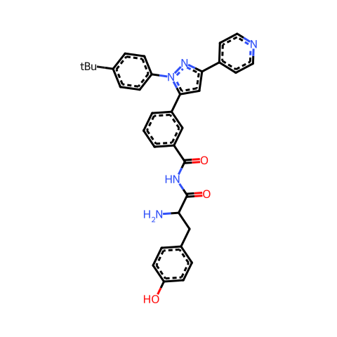 CC(C)(C)c1ccc(-n2nc(-c3ccncc3)cc2-c2cccc(C(=O)NC(=O)C(N)Cc3ccc(O)cc3)c2)cc1